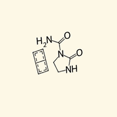 NC(=O)N1CCNC1=O.c1cc2ccc1-2